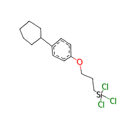 Cl[Si](Cl)(Cl)CCCOc1ccc(C2CCCCC2)cc1